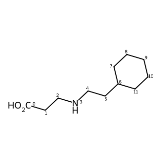 O=C(O)CCNCCC1CCCCC1